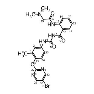 Cc1cc(NC(=O)NC(=O)c2ccccc2NC(=O)CN(C)C)ccc1Oc1ncc(Br)cn1